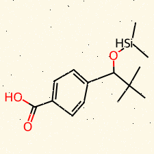 C[SiH](C)OC(c1ccc(C(=O)O)cc1)C(C)(C)C